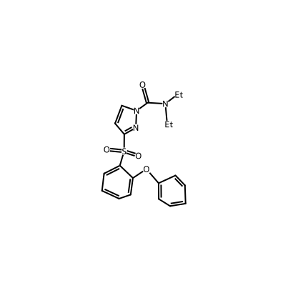 CCN(CC)C(=O)n1ccc(S(=O)(=O)c2ccccc2Oc2ccccc2)n1